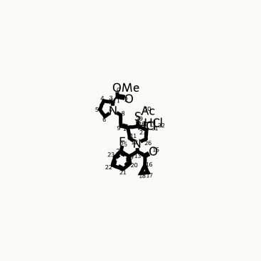 COC(=O)[C@@H]1CCCN1CC=C1CN(C(C(=O)C2CC2)c2ccccc2F)CCC1SC(C)=O.Cl.Cl